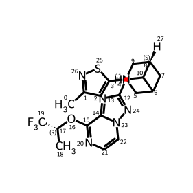 Cc1cc(N2CC3C[C@@H](C2)C3Nc2nc3c(O[C@H](C)C(F)(F)F)nccn3n2)sn1